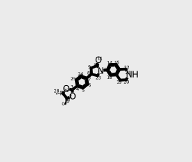 C[C@@H]1OC(c2ccc(C3CC(=O)N(c4ccc5c(c4)CCNC5)C3)cc2)O[C@H]1C